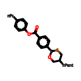 CCCCCC1COB(c2ccc(C(=O)Oc3ccc(CCC)cc3)cc2)SC1